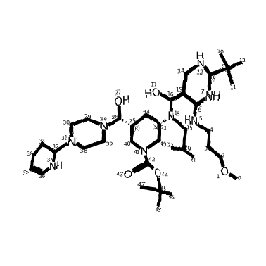 COCCCNC1NC(C(C)(C)C)NCC1C(O)N(CC(C)C)[C@H]1C[C@@H](C(O)N2CCN(C3CCC=CN3)CC2)CN(C(=O)OC(C)(C)C)C1